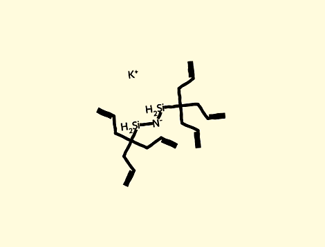 C=CCC(CC=C)(CC=C)[SiH2][N-][SiH2]C(CC=C)(CC=C)CC=C.[K+]